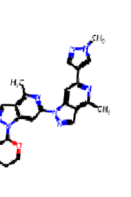 Cc1nc(-c2cnn(C)c2)cc2c1cnn2-c1cc2c(cnn2C2CCCCO2)c(C)n1